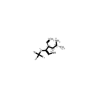 C=C[C@@H]1C(OC(F)(F)F)=CN[C@H]1[C@@H](C)N